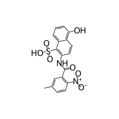 Cc1ccc([N+](=O)[O-])c(C(=O)Nc2ccc3c(O)cccc3c2S(=O)(=O)O)c1